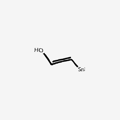 OC=[CH][Sn]